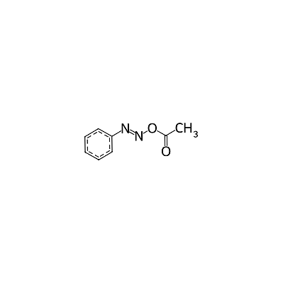 CC(=O)O/N=N/c1ccccc1